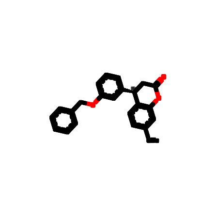 COc1ccc2c(c1)OC(=O)C[C@H]2c1cccc(OCc2ccccc2)c1